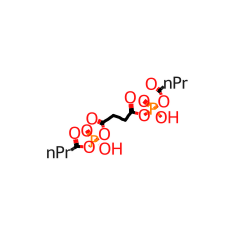 CCCC(=O)OP(=O)(O)OC(=O)CCC(=O)OP(=O)(O)OC(=O)CCC